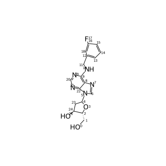 OC[C@H]1OC(n2cnc3c(NCc4cccc(F)c4)ncnc32)C[C@@H]1O